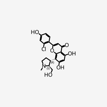 CN1CC[C@H](c2c(O)cc(O)c3c(=O)cc(-c4ccc(O)cc4Cl)oc23)[C@H]1CO